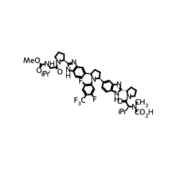 COC(=O)N[C@H](C(=O)N1CCC[C@H]1c1nc2cc([C@H]3CC[C@@H](c4ccc5[nH]c([C@@H]6CCCN6C(=O)[C@H](C(C)C)N(C)C(=O)O)nc5c4)N3c3cc(F)c(C(F)(F)F)cc3F)ccc2[nH]1)C(C)C